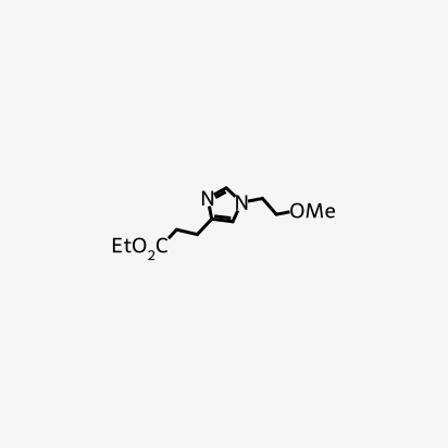 CCOC(=O)CCc1cn(CCOC)cn1